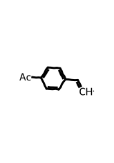 [CH]=Cc1ccc(C(C)=O)cc1